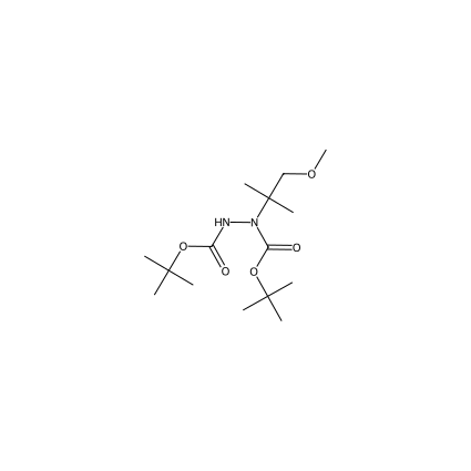 COCC(C)(C)N(NC(=O)OC(C)(C)C)C(=O)OC(C)(C)C